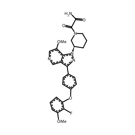 COc1cccc(Oc2ccc(-c3nn([C@@H]4CCCN(C(=O)C(N)=O)C4)c4c(OC)cncc34)cc2)c1F